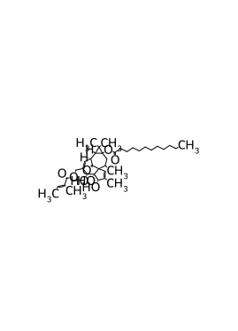 C/C=C(\C)C(=O)OCC1=C[C@@H]2C(=O)C3(C=C(C)[C@H](O)[C@@]3(O)[C@@H]1O)C(C)C[C@]1(OC(=O)CCCCCCCCCCC)[C@H]2C1(C)C